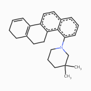 CC1(C)CCCN(c2cccc3ccc4c(c23)CCC2=C4C=CCC2)C1